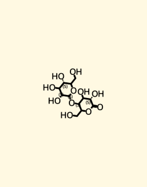 O=C1OC(CO)[C@@H](O[C@@H]2OC(CO)[C@@H](O)C(O)[C@@H]2O)C(O)[C@@H]1O